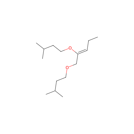 CC/C=C(/COCCC(C)C)OCCC(C)C